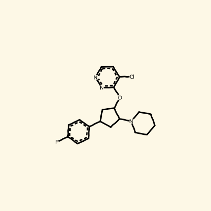 Fc1ccc(C2CC(Oc3nnccc3Cl)C(N3CCCCC3)C2)cc1